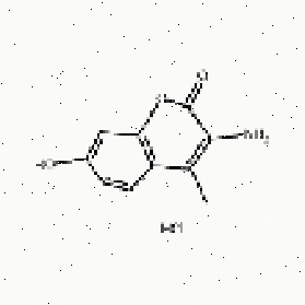 Cc1c(N)c(=O)oc2cc(O)ccc12.Cl